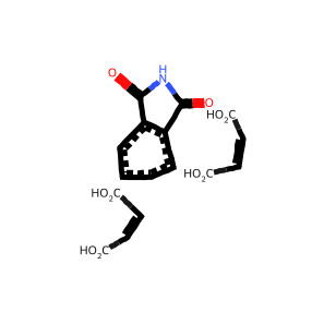 O=C(O)/C=C\C(=O)O.O=C(O)/C=C\C(=O)O.O=C1NC(=O)c2ccccc21